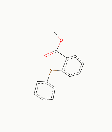 COC(=O)c1ccccc1Sc1ccccc1